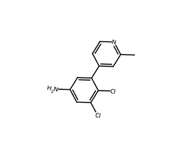 Cc1cc(-c2cc(N)cc(Cl)c2Cl)ccn1